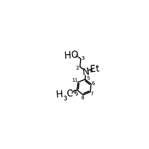 CCN(CCO)c1cccc(C)c1